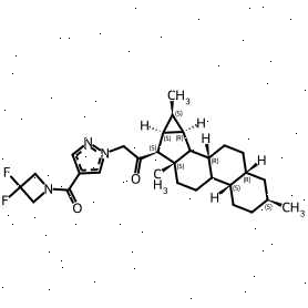 C[C@H]1CC[C@@H]2C3CC[C@@]4(C)C([C@@H]3CC[C@@H]2C1)[C@@H]1[C@H](C)[C@@H]1[C@@H]4C(=O)Cn1cc(C(=O)N2CC(F)(F)C2)cn1